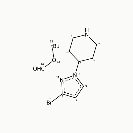 Brc1ccn(C2CCNCC2)n1.CC(C)(C)OC=O